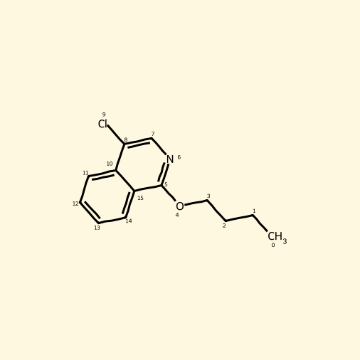 CCCCOc1ncc(Cl)c2ccccc12